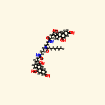 CCCCCCCCC(=O)N(CCCCNC(=O)CC[C@@H](C)C1CCC2C3C(O)CC4CC(O)CCC4(C)C3CC(O)C21C)CCCNC(=O)CC[C@@H](C)C1CCC2C3C(O)CC4CC(O)CCC4(C)C3CC(O)C21C